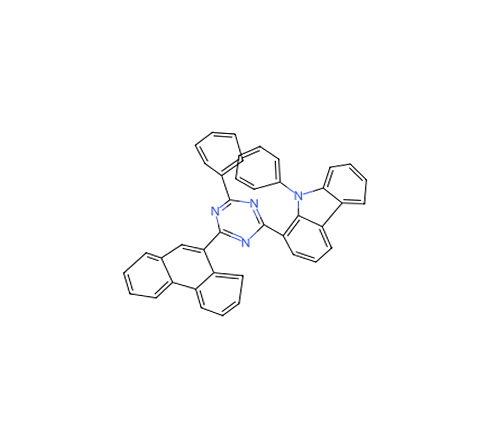 c1ccc(-c2nc(-c3cc4ccccc4c4ccccc34)nc(-c3cccc4c5ccccc5n(-c5ccccc5)c34)n2)cc1